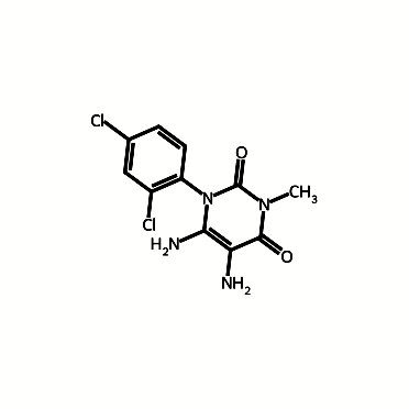 Cn1c(=O)c(N)c(N)n(-c2ccc(Cl)cc2Cl)c1=O